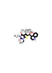 CC(C)Cn1c(=O)n(C)c(=O)c2c(C(=O)O)c(C(O)c3ccnc4ccccc34)sc21.CCCC